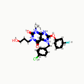 Cn1c(=O)n(CCCO)c(=O)c2c1nc(Oc1cccc(F)c1)n2Cc1ccc(Cl)cc1